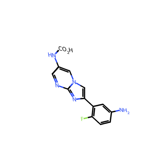 Nc1ccc(F)c(-c2cn3cc(NC(=O)O)cnc3n2)c1